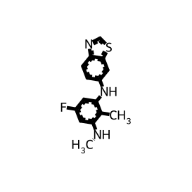 CNc1cc(F)cc(Nc2ccc3ncsc3c2)c1C